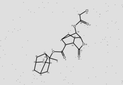 CC1(OC(=O)C2C3CC4C(OC(=O)C42)C3OC(=O)CCl)C2CC3CC(C2)CC1C3